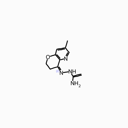 C=C(N)N/N=C1/CCOc2cc(C)cnc21